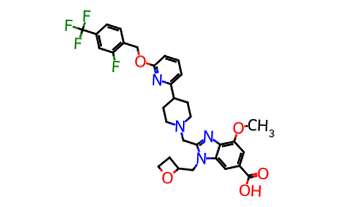 COc1cc(C(=O)O)cc2c1nc(CN1CCC(c3cccc(OCc4ccc(C(F)(F)F)cc4F)n3)CC1)n2CC1CCO1